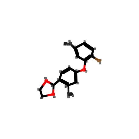 COc1ccc(Br)c(Oc2ccc(C3OCCO3)c([N+](=O)[O-])c2)c1